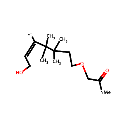 CCC(=CCO)C(C)(C)C(C)(C)CCOCC(=O)NC